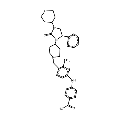 Cc1nc(Nc2ccc(C(=O)O)cc2)ccc1CN1CCC(N2C(=O)N(C3CCOCC3)C[C@H]2c2ccccc2)CC1